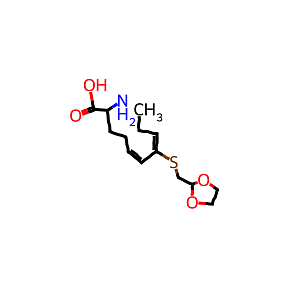 CC/C=C(\C=C/CCC(N)C(=O)O)SCC1OCCO1